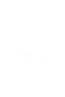 CCCOB(OC)OCC